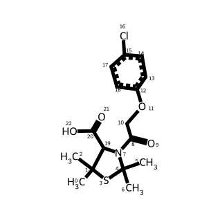 CC1(C)SC(C)(C)N(C(=O)COc2ccc(Cl)cc2)C1C(=O)O